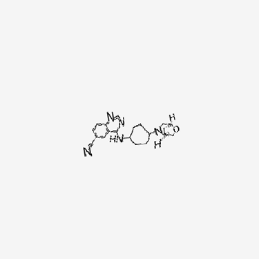 N#Cc1ccc2ncnc(NC3CCC(N4C[C@@H]5C[C@H]4CO5)CC3)c2c1